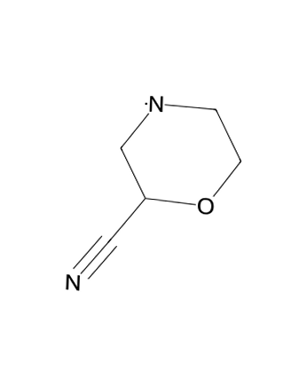 N#CC1C[N]CCO1